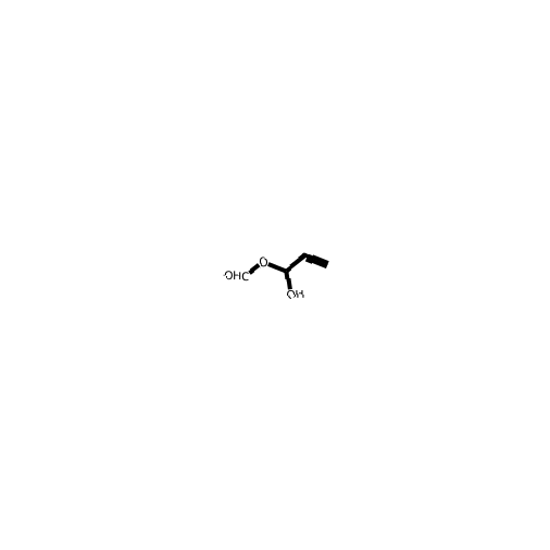 C=CC(O)O[C]=O